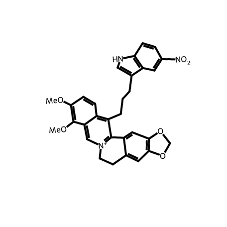 COc1ccc2c(CCCc3c[nH]c4ccc([N+](=O)[O-])cc34)c3[n+](cc2c1OC)CCc1cc2c(cc1-3)OCO2